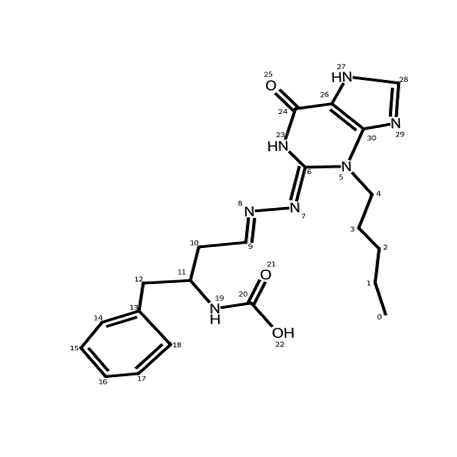 CCCCCn1c(=NN=CCC(Cc2ccccc2)NC(=O)O)[nH]c(=O)c2[nH]cnc21